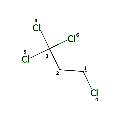 Cl[CH]CC(Cl)(Cl)Cl